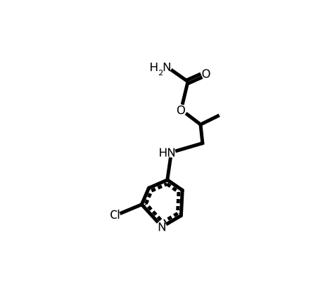 CC(CNc1ccnc(Cl)c1)OC(N)=O